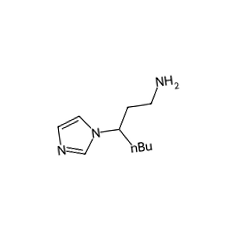 CCCCC(CCN)n1ccnc1